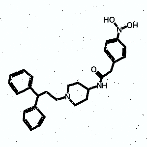 O=C(Cc1ccc(N(O)O)cc1)NC1CCN(CCC(c2ccccc2)c2ccccc2)CC1